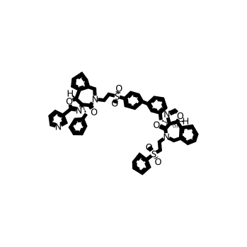 O=C1N(CCS(=O)(=O)c2ccccc2)Cc2ccccc2[C@@H]2OC=N[C@]12Cc1cccc(-c2ccc(S(=O)(=O)CCN3Cc4ccccc4[C@@H]4OC(c5cccnc5)=N[C@]4(Cc4ccccc4)C3=O)cc2)c1